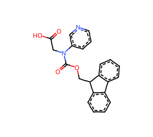 O=C(O)CN(C(=O)OCC1c2ccccc2-c2ccccc21)c1cccnc1